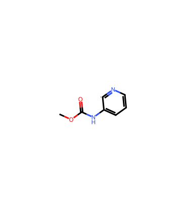 COC(=O)Nc1[c]nccc1